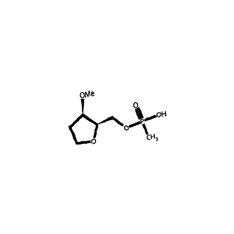 CO[C@@H]1CCO[C@@H]1COP(C)(=O)O